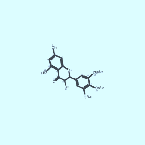 COc1cc(C2Oc3cc(O)cc(O)c3C(=O)C2O)cc(OC)c1OC